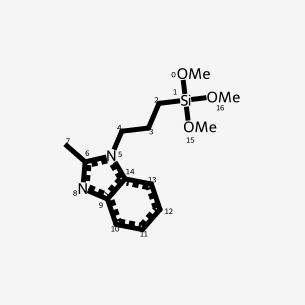 CO[Si](CCCn1c(C)nc2ccccc21)(OC)OC